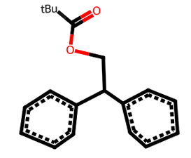 CC(C)(C)C(=O)OCC(c1ccccc1)c1ccccc1